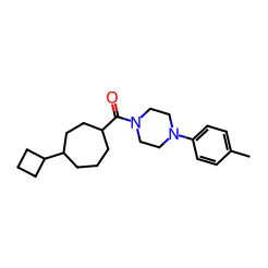 Cc1ccc(N2CCN(C(=O)C3CCCC(C4CCC4)CC3)CC2)cc1